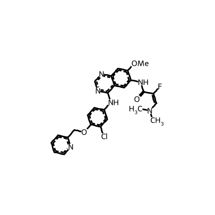 COc1cc2ncnc(Nc3ccc(OCc4ccccn4)c(Cl)c3)c2cc1NC(=O)/C(F)=C\N(C)C